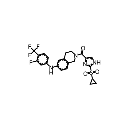 O=C(c1c[nH]c(S(=O)(=O)C2CC2)n1)N1CCc2cc(Nc3ccc(C(F)(F)F)c(F)c3)ccc2C1